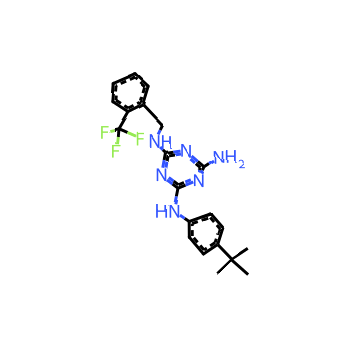 CC(C)(C)c1ccc(Nc2nc(N)nc(NCc3ccccc3C(F)(F)F)n2)cc1